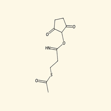 CC(=O)SCCC(=N)OC1C(=O)CCC1=O